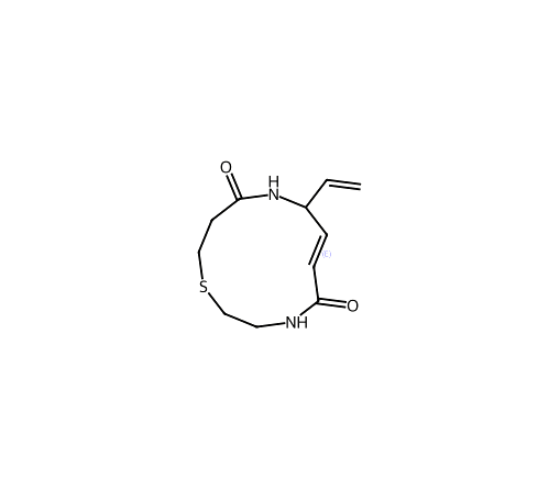 C=CC1/C=C/C(=O)NCCSCCC(=O)N1